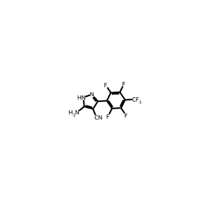 N#Cc1c(-c2c(F)c(F)c(C(F)(F)F)c(F)c2F)n[nH]c1N